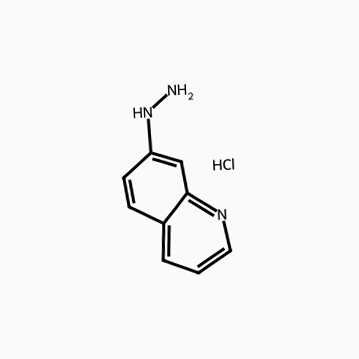 Cl.NNc1ccc2cccnc2c1